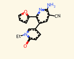 CCn1cc(-c2cc(C#N)c(N)nc2-c2ccco2)ccc1=O